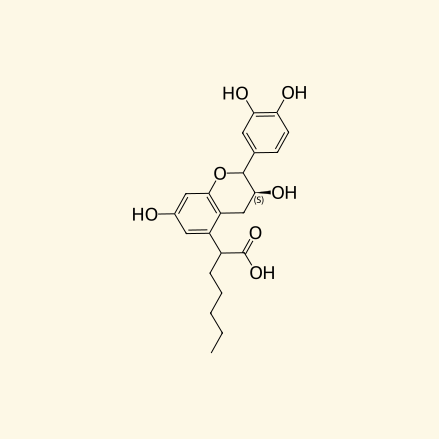 CCCCCC(C(=O)O)c1cc(O)cc2c1C[C@H](O)C(c1ccc(O)c(O)c1)O2